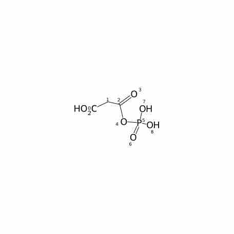 O=C(O)CC(=O)OP(=O)(O)O